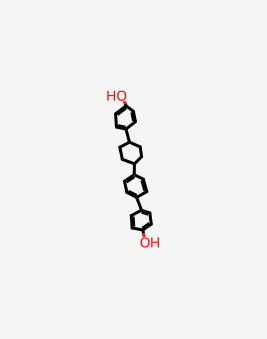 Oc1ccc(-c2ccc(C3CCC(c4ccc(O)cc4)CC3)cc2)cc1